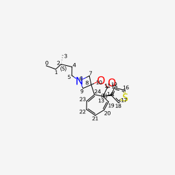 CC[C@H](C)CCN1CC2(C1)OC(=O)[C@]1(c3ccsc3)C=CC=CC=C21